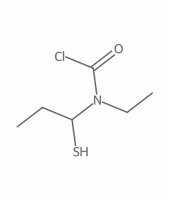 CCC(S)N(CC)C(=O)Cl